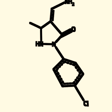 CC1NN(c2ccc(Cl)cc2)C(=O)C1=CN